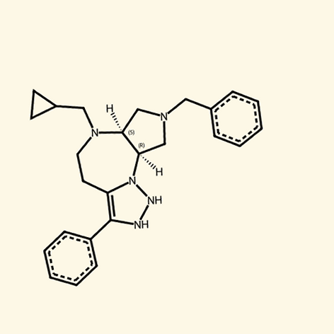 c1ccc(CN2C[C@@H]3[C@H](C2)N(CC2CC2)CCC2=C(c4ccccc4)NNN23)cc1